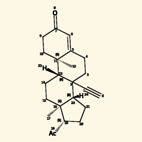 C#CC12CCC3=CC(=O)CC[C@]3(C)[C@H]1CC[C@]1(C)[C@@H](C(C)=O)CC[C@@H]21